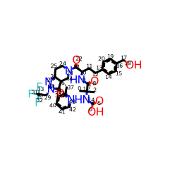 CC(C)(NC(=O)O)C(=O)NC(CCc1ccc(CO)cc1)C(=O)N1CCC2=NN(CC(F)(F)F)C(=O)[C@]2(Cc2ccccn2)C1